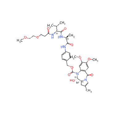 COCCOCCC(=O)N[C@H](C(=O)N[C@@H](C)C(=O)Nc1ccc(COC(=O)N2c3cc(OC)c(OC)cc3C(=O)N3C=C(C)C[C@H]3[C@@H]2O)cc1)C(C)C